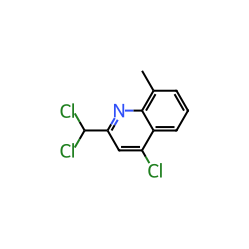 Cc1cccc2c(Cl)cc(C(Cl)Cl)nc12